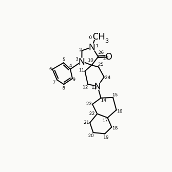 CN1CN(c2ccccc2)C2(CCN(C3CCC4CCCCC4C3)CC2)C1=O